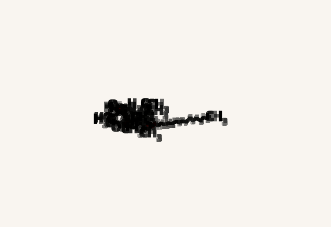 CCCCCCCCCCCCCCCCCCOC(C)O[C@@H](C(=O)O[C@H]1CC2(O)[C@@H](O)[C@@H]3[C@]4(O)CO[C@@H]4C[C@H](O)[C@@]3(C)C(=O)[C@H](O)C(=C1C)C2(C)C)[C@@H](NC(=O)OC(C)(C)C)c1ccccc1